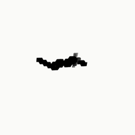 C/C=C/COc1c(F)cc2cc(C3CCC4CC(CCCCCCC)CCC4C3)ccc2c1F